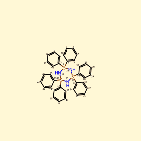 c1ccc(S2(c3ccccc3)NS(c3ccccc3)(c3ccccc3)NS(c3ccccc3)(c3ccccc3)N2)cc1